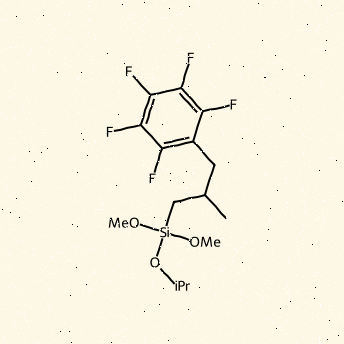 CO[Si](CC(C)Cc1c(F)c(F)c(F)c(F)c1F)(OC)OC(C)C